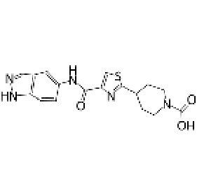 O=C(Nc1ccc2[nH]ncc2c1)c1csc(C2CCN(C(=O)O)CC2)n1